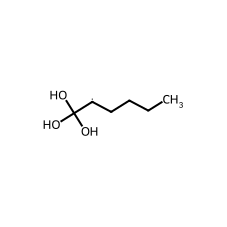 CCCC[CH]C(O)(O)O